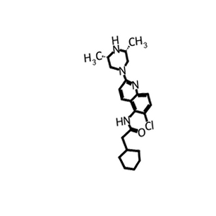 C[C@@H]1CN(c2ccc3c(NC(=O)CC4CCCCC4)c(Cl)ccc3n2)C[C@H](C)N1